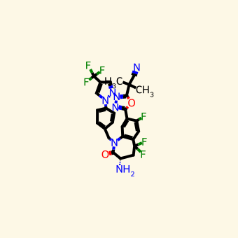 CC(C)(C#N)c1nnc(-c2cc3c(cc2F)C(F)(F)C[C@H](N)C(=O)N3Cc2ccc(-n3cc(C(F)(F)F)cn3)cc2)o1